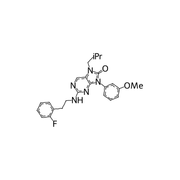 COc1cccc(-n2c(=O)n(CC(C)C)c3cnc(NCCc4ccccc4F)nc32)c1